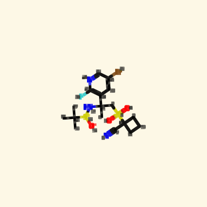 CC(CS(=O)(=O)C1(C#N)CCC1)(N[S+]([O-])C(C)(C)C)c1cc(Br)cnc1F